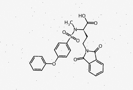 CN([C@H](CCN1C(=O)c2ccccc2C1=O)C(=O)O)S(=O)(=O)c1ccc(Oc2ccccc2)cc1